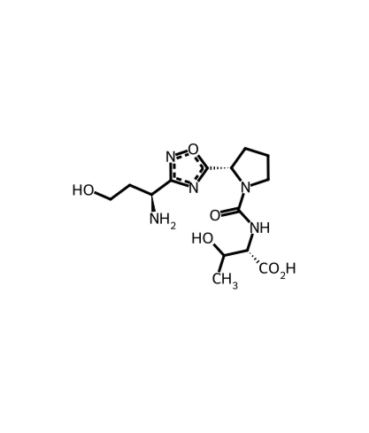 CC(O)[C@H](NC(=O)N1CCC[C@H]1c1nc([C@@H](N)CCO)no1)C(=O)O